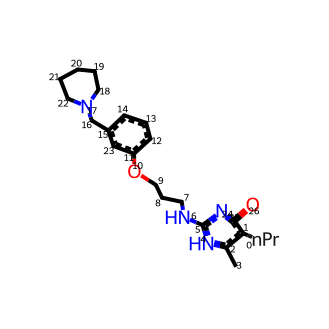 CCCc1c(C)[nH]c(NCCCOc2cccc(CN3CCCCC3)c2)nc1=O